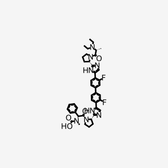 CCN(CC)[C@H](C)C(=O)N1CCC[C@H]1c1ncc(-c2ccc(-c3ccc(-c4cnc([C@@H]5CCCN5C(=O)[C@@H](c5ccccc5)N(C)C(=O)O)[nH]4)c(F)c3)cc2F)[nH]1